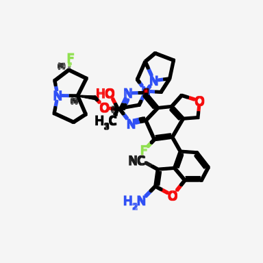 C[C@@H](O)CN1CC2CCC(C1)N2c1nc(OC[C@@]23CCCN2C[C@H](F)C3)nc2c(F)c(-c3cccc4oc(N)c(C#N)c34)c3c(c12)COC3